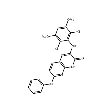 COc1cc(OC)c(Cl)c(Nc2nc3ccc(Nc4ccccc4)nc3[nH]c2=O)c1Cl